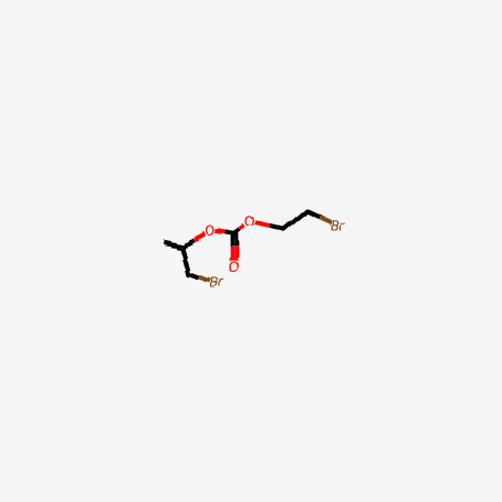 CC(CBr)OC(=O)OCCBr